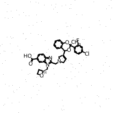 CC1(c2ccc(Cl)cc2F)Oc2ccccc2C(C2=CCN(Cc3nc4ccc(C(=O)O)cc4n3C[C@@H]3CCO3)C2)O1